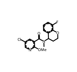 COc1ncc(Cl)cc1C(=O)N(C)C1CCOc2c(F)cccc21